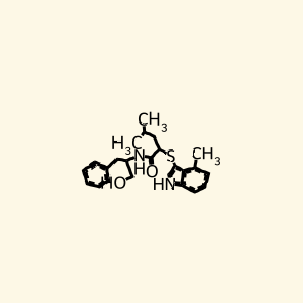 Cc1cccc2[nH]cc(SC(CC(C)C)C(=O)NC(CO)Cc3ccccc3)c12